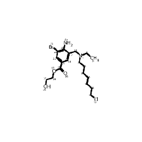 CCN(CCCCCCCCl)Cc1cc(C(=O)OCCO)cc(Br)c1N